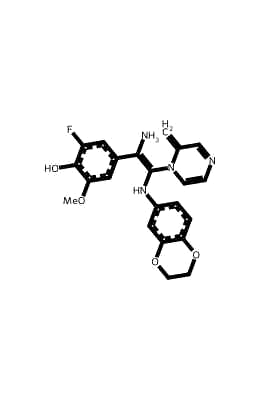 C=C1C=NC=CN1/C(Nc1ccc2c(c1)OCCO2)=C(\N)c1cc(F)c(O)c(OC)c1